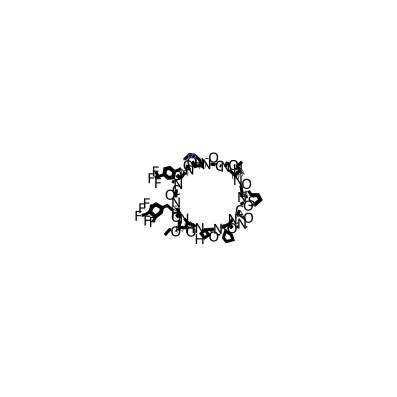 CCO[C@@H]1C[C@H]2C(=O)NC3(CCC3)C(=O)N(C)[C@@H](C3CCCC3)C(=O)N(C)[C@H](C(=O)N(C)C)CC(=O)N(C)[C@@H](Cc3cccs3)C(=O)N[C@@H]([C@@H](C)CC)C(=O)N(C)CC(=O)N(C)[C@H]3C/C=C\CCN(C3=O)[C@@H](Cc3ccc(C(F)(F)F)cc3)C(=O)N(C)CC(=O)N[C@@H](CCc3cc(F)c(C(F)(F)F)c(F)c3)C(=O)N2C1